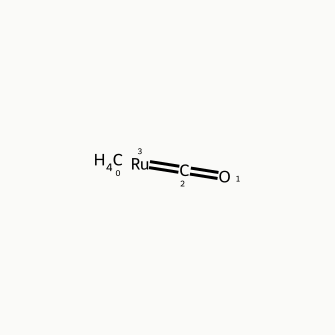 C.O=[C]=[Ru]